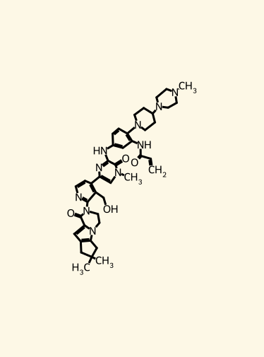 C=CC(=O)Nc1cc(Nc2nc(-c3ccnc(N4CCn5c(cc6c5CC(C)(C)C6)C4=O)c3CO)cn(C)c2=O)ccc1N1CCC(N2CCN(C)CC2)CC1